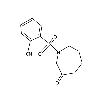 N#Cc1ccccc1S(=O)(=O)N1CCC[CH]C(=O)C1